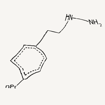 CCCc1ccc(CCNN)cc1